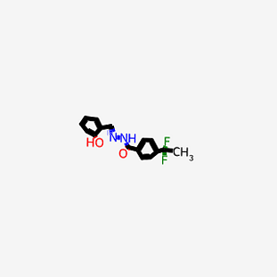 CC(F)(F)c1ccc(C(=O)N/N=C/c2ccccc2O)cc1